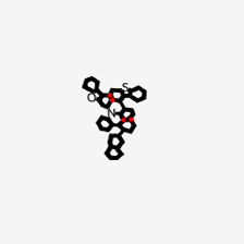 c1ccc(-c2ccccc2N(c2ccc3c(c2)oc2ccccc23)c2ccccc2-c2cccc3sc4ccccc4c23)c(-c2ccc3ccccc3c2)c1